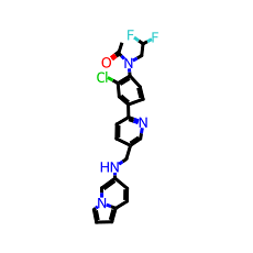 CC(=O)N(CC(F)F)c1ccc(-c2ccc(CNc3ccc4cccn4c3)cn2)cc1Cl